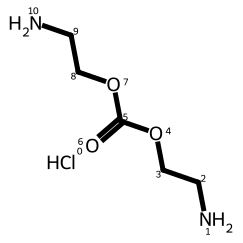 Cl.NCCOC(=O)OCCN